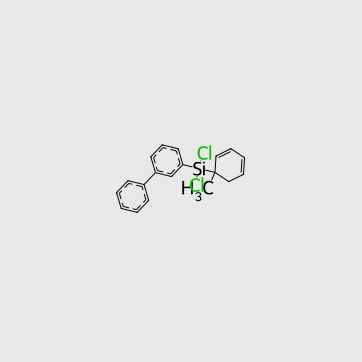 CC1([Si](Cl)(Cl)c2cccc(-c3ccccc3)c2)C=CC=CC1